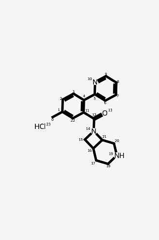 Cc1ccc(-c2ccccn2)c(C(=O)N2CC3CCNCC32)c1.Cl